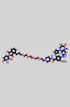 COc1cc(C(=O)NC2CCN(CCOCCOCCOCCOCCCc3cccc4c3C(=O)N(C3CCC(=O)NC3=O)C4=O)CC2)c(F)cc1Nc1ncc2c(n1)N(C1CCCC1)CC(F)(F)C(=O)N2C